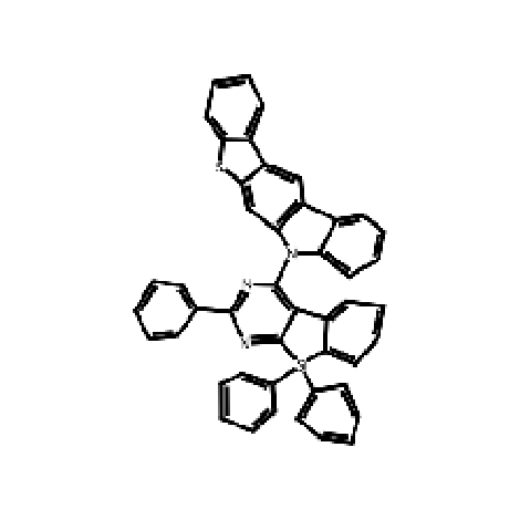 c1ccc(-c2nc(-n3c4ccccc4c4cc5c(cc43)sc3ccccc35)c3c(n2)[Si](c2ccccc2)(c2ccccc2)c2ccccc2-3)cc1